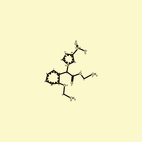 CCOC(=O)C(c1ccccc1OCC)n1cnc([N+](=O)[O-])c1